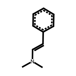 CN(C)/C=C/c1ccccc1